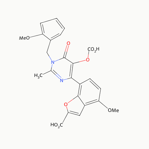 COc1ccccc1Cn1c(C)nc(-c2ccc(OC)c3cc(C(=O)O)oc23)c(OC(=O)O)c1=O